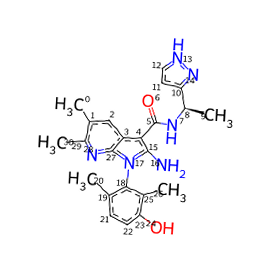 Cc1cc2c(C(=O)N[C@H](C)c3cc[nH]n3)c(N)n(-c3c(C)ccc(O)c3C)c2nc1C